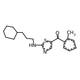 Cc1ccccc1C(=O)c1cnc(N[CH]CCC2CCCCC2)s1